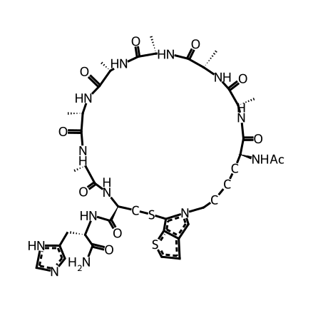 CC(=O)N[C@H]1CCCCn2cc3ccsc3c2SC[C@@H](C(=O)N[C@@H](Cc2cnc[nH]2)C(N)=O)NC(=O)[C@H](C)NC(=O)[C@H](C)NC(=O)[C@H](C)NC(=O)[C@H](C)NC(=O)[C@H](C)NC(=O)[C@H](C)NC1=O